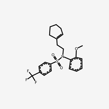 COc1ccccc1N(CCC1=CCCCC1)S(=O)(=O)c1ccc(C(F)(F)F)cc1